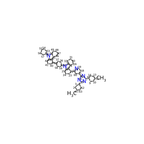 Cc1ccc(-c2nc(-c3ccc(C)cc3)nc(-c3ccnc(-c4cccc5c4c4ccccc4n5-c4ccc(-c5cccc6c5c5ccccc5n6-c5ccccc5)cc4)c3)n2)cc1